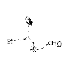 CCC(Br)N[C]=O